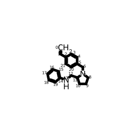 C=Cc1ccc(CN2CCCC2CNc2ccccc2)cc1